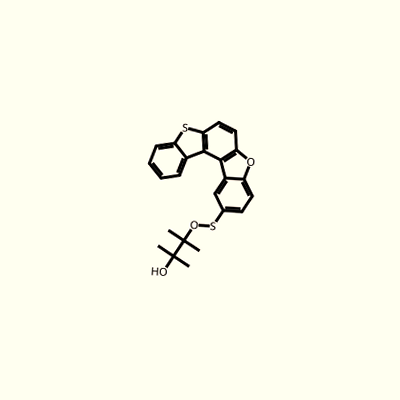 CC(C)(O)C(C)(C)OSc1ccc2oc3ccc4sc5ccccc5c4c3c2c1